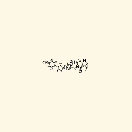 [2H]c1nc2ncn(C)c2c(=O)n1Cc1nc(C2COC(c3ccc(Cl)cc3)C2)no1